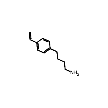 C=Cc1ccc(CCCCN)cc1